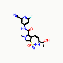 C[C@H](O)[C@H]1C=Cc2c(cn(C)c2C(=O)Nc2cc(F)nc(C#N)c2)S(=N)(=O)N1